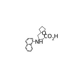 O=C(O)CC(CC1CCCO1)Nc1cccc2ccccc12